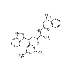 CC(NC(=O)CC(C)c1ccccc1)C(=O)CC(c1cc(C(F)(F)F)cc(C(F)(F)F)c1)c1c[nH]c2ccccc12